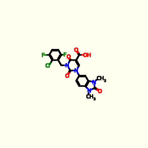 Cn1c(=O)n(C)c2cc(-n3cc(C(=O)O)c(=O)n(Cc4c(F)ccc(F)c4Cl)c3=O)ccc21